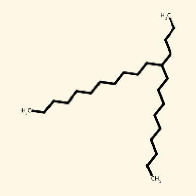 [CH2]CCCC(CCCCCCCCC)CCCCCCCCCCC